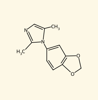 Cc1cnc(C)n1-c1ccc2c(c1)OCO2